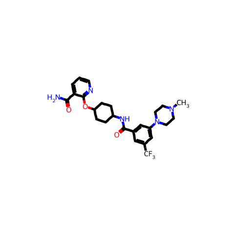 CN1CCN(c2cc(C(=O)NC3CCC(Oc4ncccc4C(N)=O)CC3)cc(C(F)(F)F)c2)CC1